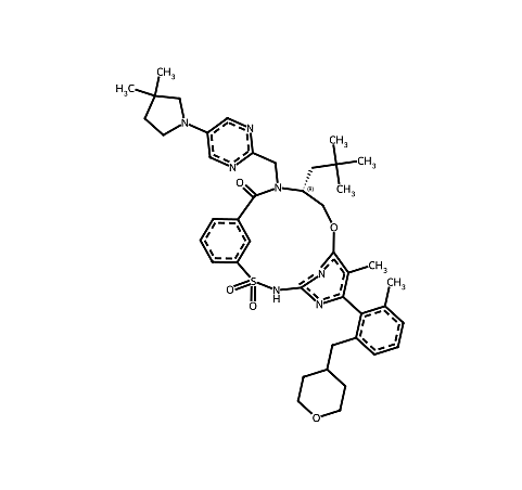 Cc1cccc(CC2CCOCC2)c1-c1nc2nc(c1C)OC[C@@H](CC(C)(C)C)N(Cc1ncc(N3CCC(C)(C)C3)cn1)C(=O)c1cccc(c1)S(=O)(=O)N2